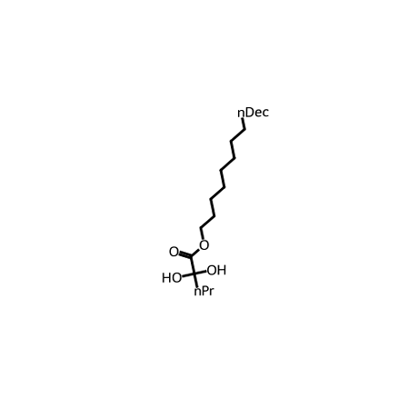 CCCCCCCCCCCCCCCCCCOC(=O)C(O)(O)CCC